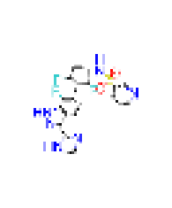 O=S(=O)(Nc1ccc(F)c(-c2ccc3c(-c4ncc[nH]4)n[nH]c3c2F)c1F)c1cccnc1